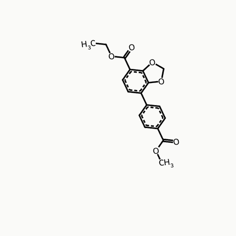 CCOC(=O)c1ccc(-c2ccc(C(=O)OC)cc2)c2c1OCO2